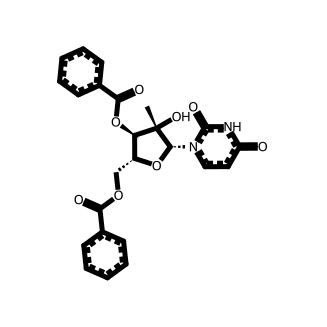 C[C@]1(O)[C@H](OC(=O)c2ccccc2)[C@@H](COC(=O)c2ccccc2)O[C@H]1n1ccc(=O)[nH]c1=O